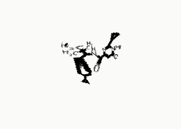 CC(C)(C)C(NC(=O)c1cc(=O)[nH]c(C2CC2)n1)c1ccc(C2CC2)cc1